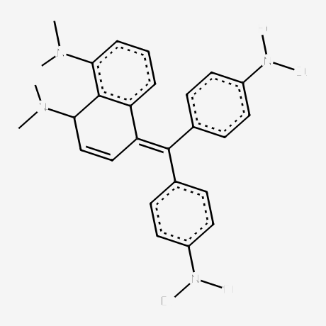 CCN(CC)c1ccc(C(=C2C=CC(N(C)C)c3c2cccc3N(C)C)c2ccc(N(CC)CC)cc2)cc1